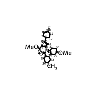 COC(=O)c1sc(C2CC=C(F)CC2)cc1N(C(=O)C1CCC(C)CC1)C1CCC(OC)CC1